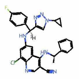 [2H][C@](Nc1cc(Cl)c2ncc(C#N)c(N[C@H](C)c3ccccc3)c2c1)(c1ccc(F)cc1)c1cn(C2CC2)nn1